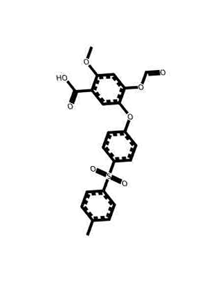 COc1cc(OC=O)c(Oc2ccc(S(=O)(=O)c3ccc(C)cc3)cc2)cc1C(=O)O